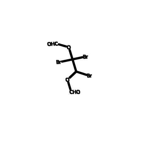 O=COC(Br)C(Br)(Br)OC=O